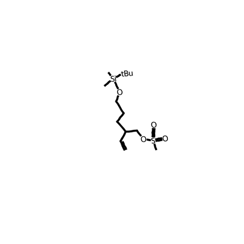 C=CC(CCCO[Si](C)(C)C(C)(C)C)COS(C)(=O)=O